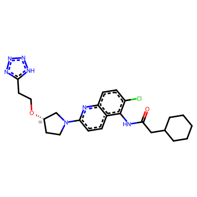 O=C(CC1CCCCC1)Nc1c(Cl)ccc2nc(N3CC[C@H](OCCc4nnn[nH]4)C3)ccc12